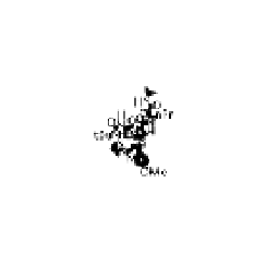 CCC[C@@H](NC(=O)C1C[C@@H](Oc2cc(-n3cccn3)nc3cc(OC)ccc23)CN1C(=O)[C@@H](NC(=O)NC(C)(C)C)C(C)(C)C)C(=O)C(=O)NC1CC1